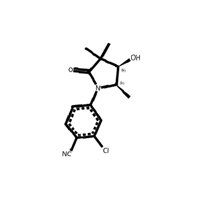 C[C@@H]1[C@H](O)C(C)(C)C(=O)N1c1ccc(C#N)c(Cl)c1